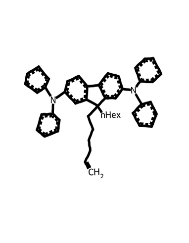 C=CCCCCC1(CCCCCC)c2cc(N(c3ccccc3)c3ccccc3)ccc2-c2ccc(N(c3ccccc3)c3ccccc3)cc21